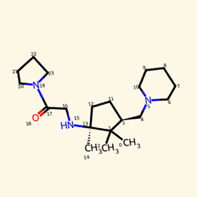 CC1(C)[C@H](CN2CCCCC2)CC[C@]1(C)NCC(=O)N1CCCC1